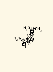 COc1cc2c(cc1OC)C(=O)N(c1nnc(C(=O)Nc3cnccc3N(C)CCN)o1)C2